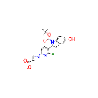 COC(=O)C1CN(c2ccc(-c3cc4cc(O)ccc4n3C(=O)OC(C)(C)C)c(F)n2)C1